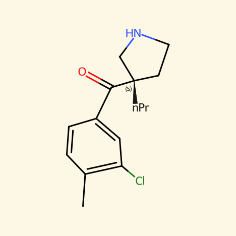 CCC[C@]1(C(=O)c2ccc(C)c(Cl)c2)CCNC1